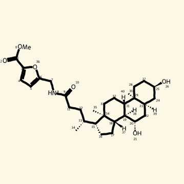 COC(=O)c1ccc(CNC(=O)CC[C@@H](C)[C@H]2CC[C@H]3[C@@H]4[C@@H](O)C[C@@H]5C[C@H](O)CC[C@]5(C)[C@H]4CC[C@]23C)o1